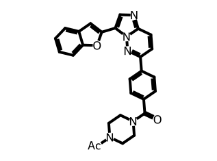 CC(=O)N1CCN(C(=O)c2ccc(-c3ccc4ncc(-c5cc6ccccc6o5)n4n3)cc2)CC1